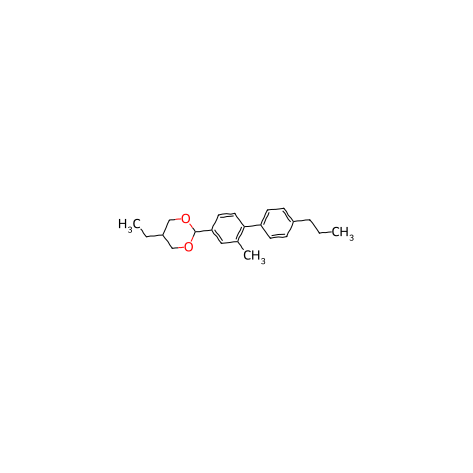 CCCc1ccc(-c2ccc(C3OCC(CC)CO3)cc2C)cc1